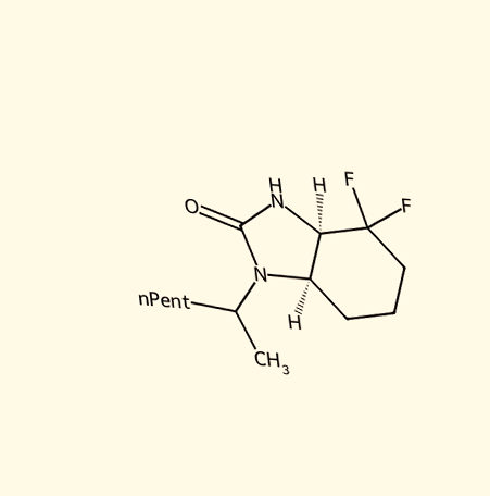 CCCCCC(C)N1C(=O)N[C@@H]2[C@H]1CCCC2(F)F